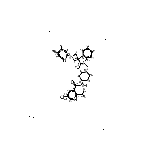 Cc1cc(N2CC3(C2)C(=O)N(C[C@H]2CC[C@H](NC(=O)c4cc(Cl)cnc4C(F)F)CC2)c2ccccc23)ncc1F